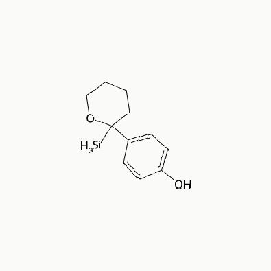 Oc1ccc(C2([SiH3])CCCCO2)cc1